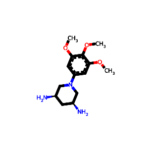 COc1cc(N2C[C@H](N)C[C@H](N)C2)cc(OC)c1OC